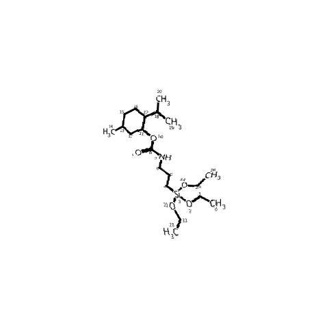 CCO[Si](CCCNC(=O)OC1CC(C)CCC1C(C)C)(OCC)OCC